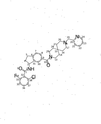 O=C(NC1CCc2ccc(C(=O)N3CCC4(CCN(Cc5ccccn5)CC4)CC3)cc21)c1c(F)cccc1Cl